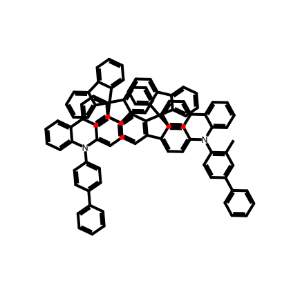 Cc1cc(-c2ccccc2)ccc1N(c1ccc2c(c1)C1(c3ccccc3-c3ccccc31)c1cc(-c3cccc(-c4ccccc4N(c4ccc(-c5ccccc5)cc4)c4ccc5c(c4)C4(c6ccccc6-c6ccccc64)c4ccccc4-5)c3)ccc1-2)c1ccccc1-c1ccccc1